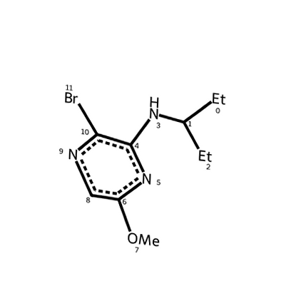 CCC(CC)Nc1nc(OC)cnc1Br